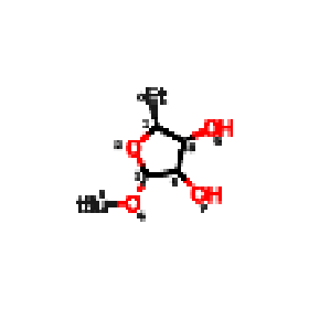 CC[C@@H]1O[C@@H](OC(C)(C)C)C(O)[C@@H]1O